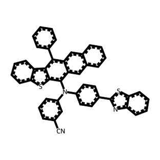 N#Cc1cccc(N(c2ccc(-c3nc4ccccc4s3)cc2)c2c3cc4ccccc4cc3c(-c3ccccc3)c3c2sc2ccccc23)c1